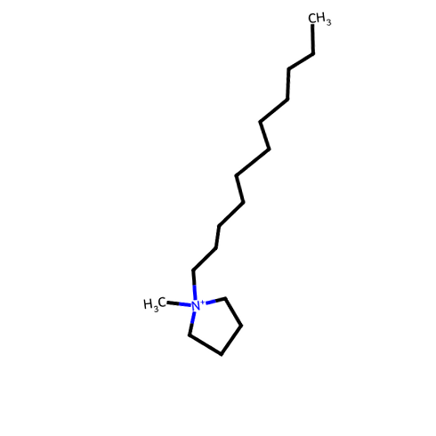 CCCCCCCCCCC[N+]1(C)CCCC1